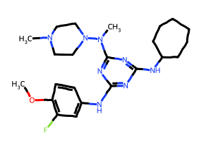 COc1ccc(Nc2nc(NC3CCCCCC3)nc(N(C)N3CCN(C)CC3)n2)cc1F